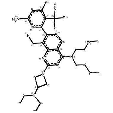 CCCCN(CCNC)c1nc(N2CC(N(CC)CC)C2)nc2c(CF)c(-c3nc(N)cc(C)c3C(F)(F)F)ncc12